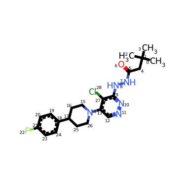 CC(C)(C)CC(=O)NNc1nncc(N2CCC(c3ccc(F)cc3)CC2)c1Cl